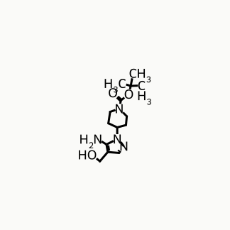 CC(C)(C)OC(=O)N1CCC(n2ncc(CO)c2N)CC1